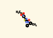 CCCS(=O)(=O)N1CCC(c2nc(C(=O)Nc3ccc(C)cc3-c3ccccc3)cs2)CC1